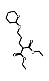 CCOC(=O)C(CCCOC1CCCCO1)C(=O)OCC